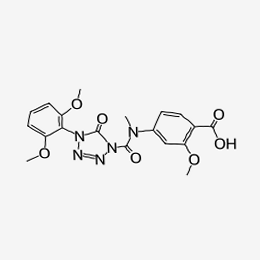 COc1cc(N(C)C(=O)n2nnn(-c3c(OC)cccc3OC)c2=O)ccc1C(=O)O